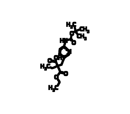 CCOC(=O)C(CC)(Cc1ccc(NC(=O)OC(C)(C)C)nc1)C(=O)O